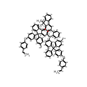 C=Cc1ccc(Oc2ccc(C3(c4ccc(F)cc4)c4ccccc4-c4ccc(N(c5ccc6c(c5)C(c5ccc(F)cc5)(c5ccc(Oc7ccc(C=C)cc7)cc5)c5ccccc5-6)c5ccccc5-c5ccc6c(c5)-c5ccccc5C6(C)C)cc43)cc2)cc1